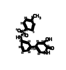 Cc1ccc(S(=O)(=O)Nc2cccc(-c3c[nH]c(=O)c(O)c3)c2)cc1